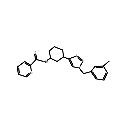 Cc1cccc(Cn2cc(C3CCCC(NC(=O)c4ccccn4)C3)nn2)c1